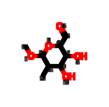 COC1OC(C=O)C(O)C(O)C1C